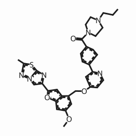 CCCN1CCN(C(=O)c2ccc(-c3cc(OCc4cc(OC)cc5oc(-c6cn7nc(C)sc7n6)cc45)ccn3)cc2)CC1